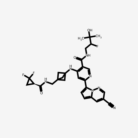 CC(C)(O)C(F)CNC(=O)c1cnc(-c2ccc3cc(C#N)cnn23)cc1NC12CC(CNC(=O)[C@H]3CC3(F)F)(C1)C2